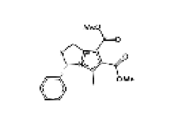 COC(=O)c1c(C(=O)OC)c2n(c1C)[C@H](c1ccccc1)SC2